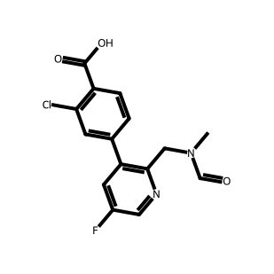 CN(C=O)Cc1ncc(F)cc1-c1ccc(C(=O)O)c(Cl)c1